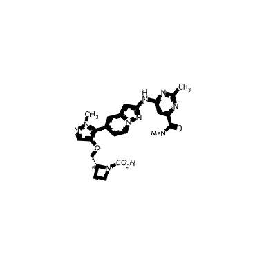 CNC(=O)c1cc(Nc2cc3cc(-c4c(OC[C@H]5CCN5C(=O)O)cnn4C)ccn3n2)nc(C)n1